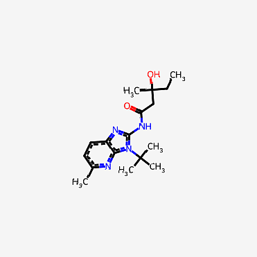 CCC(C)(O)CC(=O)Nc1nc2ccc(C)nc2n1C(C)(C)C